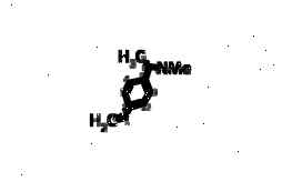 C=Cc1ccc(C(C)NC)cc1